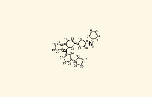 CN(c1ccccc1)c1ccc(-c2ccc3c4ccccc4n(-c4cccc(-c5ccccc5)c4)c3c2)cc1